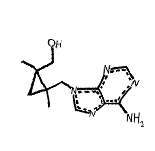 CC1(CO)CC1(C)Cn1cnc2c(N)ncnc21